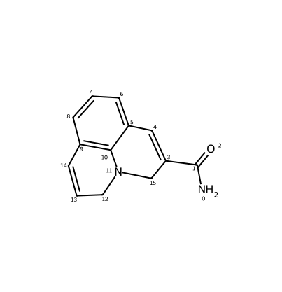 NC(=O)C1=Cc2cccc3c2N(CC=C3)C1